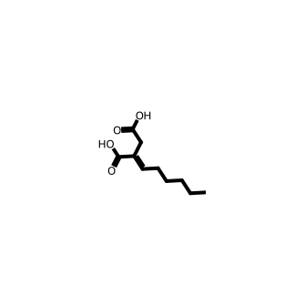 CCCCC/C=C(\CC(=O)O)C(=O)O